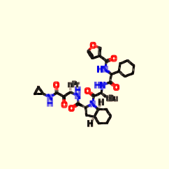 CCC[C@H](NC(=O)[C@@H]1C[C@@H]2CCCC[C@@H]2N1C(=O)[C@@H](NC(=O)[C@@H](NC(=O)c1ccoc1)C1CCCCC1)C(C)(C)C)C(=O)C(=O)NC1CC1